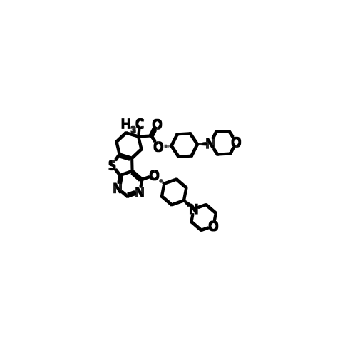 CC1(C(=O)O[C@H]2CC[C@H](N3CCOCC3)CC2)CCc2sc3ncnc(O[C@H]4CC[C@H](N5CCOCC5)CC4)c3c2C1